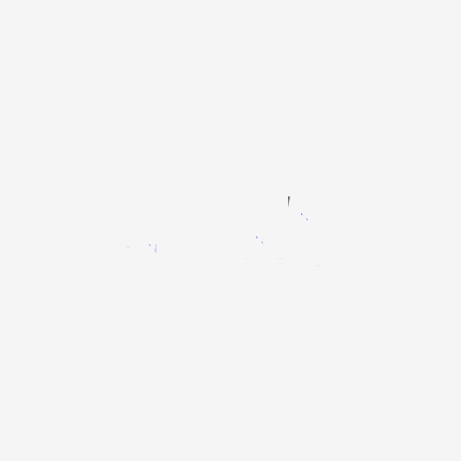 CC(C)NCc1ccc(C(=O)N2CC[C@H]3[C@H]2[C@@H](C(C)C)C(=O)N3S(C)(=O)=O)cc1